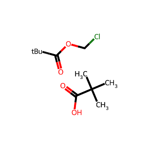 CC(C)(C)C(=O)O.CC(C)(C)C(=O)OCCl